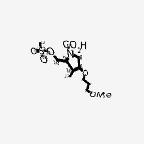 COCCCOC1CN(C(=O)O)C(COS(C)(=O)=O)C1C